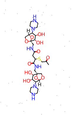 CC(=O)CSC(CC(=O)NC[C@@]12OC[C@@H](O1)[C@@H](N1CCNCC1)[C@@H](O)[C@H]2O)C(=O)NC[C@@]12CO[C@@H](O1)[C@@H](N1CCNCC1)[C@@H](O)[C@H]2O